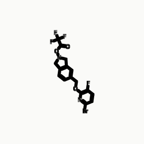 O=C(ON1Cc2ccc(COc3nc(Br)ccc3F)cc2C1)C(F)(F)F